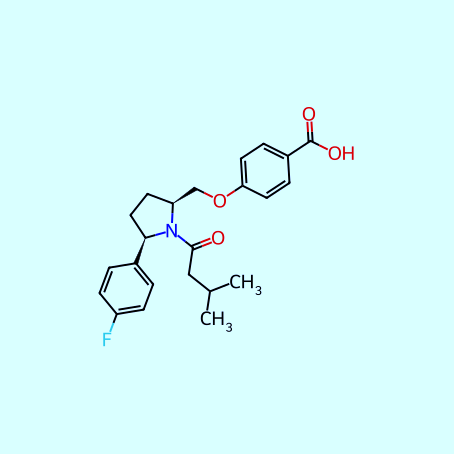 CC(C)CC(=O)N1[C@H](COc2ccc(C(=O)O)cc2)CC[C@@H]1c1ccc(F)cc1